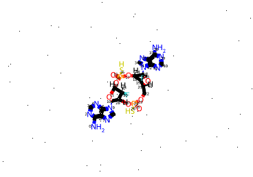 Nc1ncnc2c1ncn2[C@@H]1O[C@@H]2O[P@@](=O)(S)O[C@@H]3[C@H](F)[C@@H](CO[P@](=O)(S)O[C@@H]1[C@@H]2F)O[C@H]3n1cnc2c(N)ncnc21